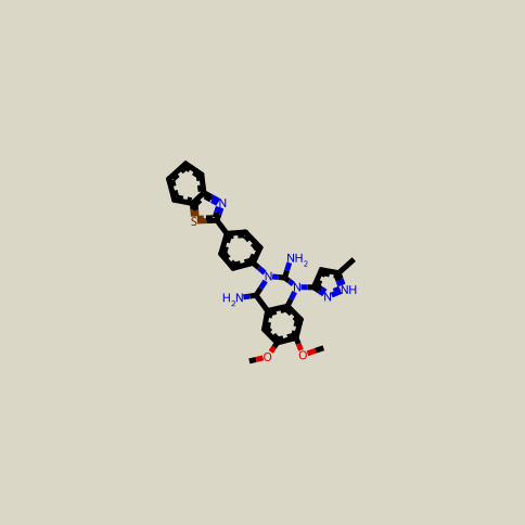 COc1cc2c(cc1OC)N(c1cc(C)[nH]n1)C(N)N(c1ccc(-c3nc4ccccc4s3)cc1)C2N